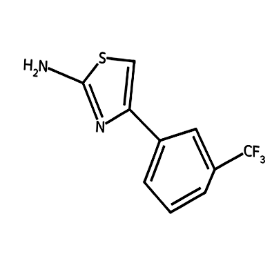 Nc1nc(-c2cccc(C(F)(F)F)c2)cs1